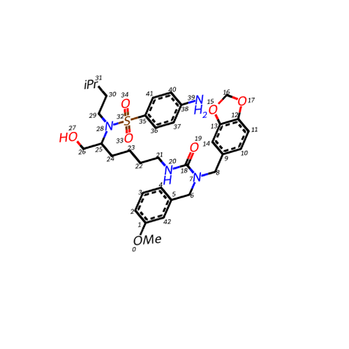 COc1cccc(CN(Cc2ccc3c(c2)OCO3)C(=O)NCCCCC(CO)N(CCC(C)C)S(=O)(=O)c2ccc(N)cc2)c1